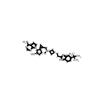 CC(C)(C)c1ccc2[nH]c(CC[C@H]3C[C@@H](N(CC4CC4)C[C@@H]4C[C@@H](O)[C@H](n5ccc6c(N)ncnc65)C4)C3)nc2c1